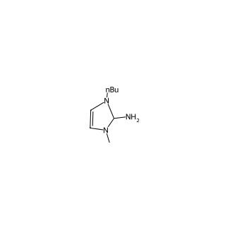 CCCCN1C=CN(C)C1N